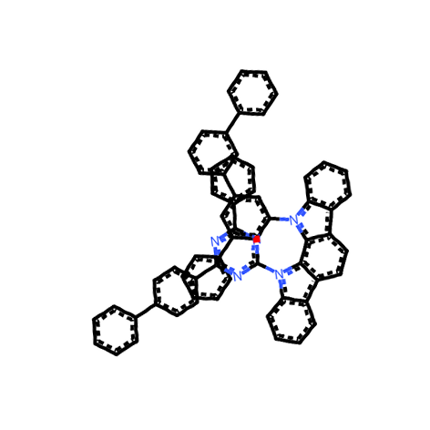 c1ccc(-c2ccc(-c3nc(-c4ccccc4)nc(-n4c5ccccc5c5ccc6c7ccccc7n(-c7cc(-c8ccccc8)cc(-c8cccc(-c9ccccc9)c8)c7)c6c54)n3)cc2)cc1